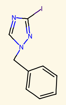 Ic1ncn(Cc2ccccc2)n1